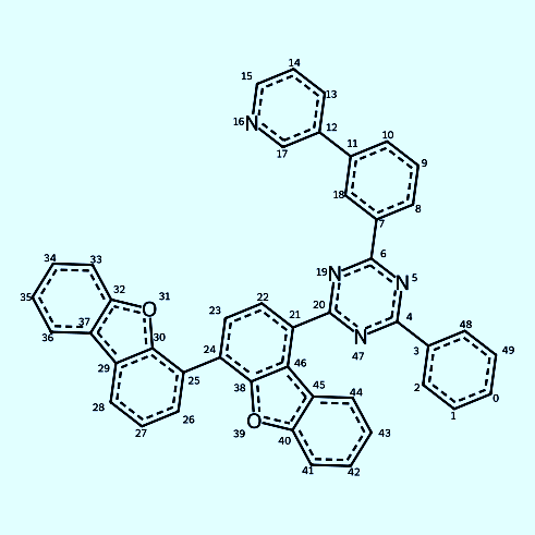 c1ccc(-c2nc(-c3cccc(-c4cccnc4)c3)nc(-c3ccc(-c4cccc5c4oc4ccccc45)c4oc5ccccc5c34)n2)cc1